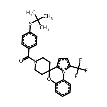 CC(C)(C)Sc1ccc(C(=O)N2CCC3(CC2)Oc2ccccc2-n2c(C(F)(F)F)ccc23)cc1